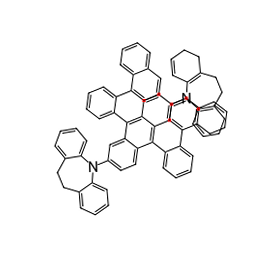 C1=CC2=C(CC1)CCC1=C(C=CCC1)N2c1ccc2c(-c3ccccc3-c3cccc4ccccc34)c3cc(N4c5ccccc5CCc5ccccc54)ccc3c(-c3ccccc3-c3cccc4c3CCC=C4)c2c1